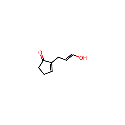 O=C1CCC=C1CC=CO